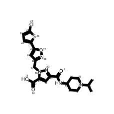 CC(C)N1CCC(NC(=O)c2cc(C(=O)O)n(Cc3cc(-c4ccc(Cl)s4)on3)n2)CC1